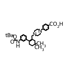 CC1(C)CCC(c2cccc(NC(=O)OC(C)(C)C)c2)=C(CN2CCN(c3ccc(C(=O)O)cc3)CC2)C1